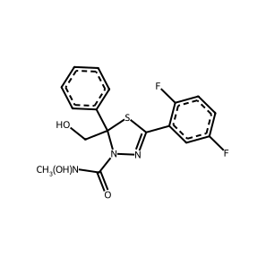 CN(O)C(=O)N1N=C(c2cc(F)ccc2F)SC1(CO)c1ccccc1